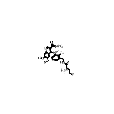 CCOc1cc2ncc(C(N)=O)c(Nc3cccc(CNC(=O)[C@H](N)CCC(C)C)c3CC)c2cc1OCC